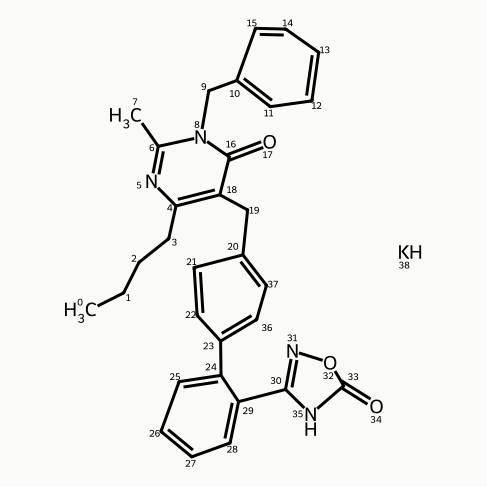 CCCCc1nc(C)n(Cc2ccccc2)c(=O)c1Cc1ccc(-c2ccccc2-c2noc(=O)[nH]2)cc1.[KH]